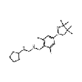 Cc1cc(B2OC(C)(C)C(C)(C)O2)cc(C)c1CNCNC1CCCC1